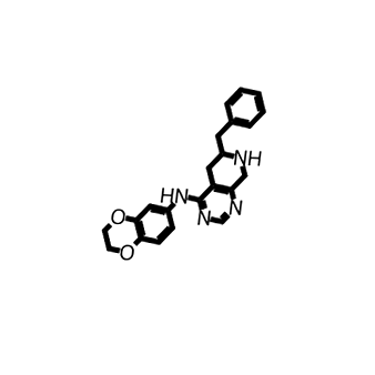 c1ccc(CC2Cc3c(ncnc3Nc3ccc4c(c3)OCCO4)CN2)cc1